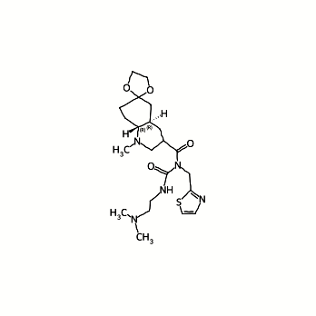 CN(C)CCNC(=O)N(Cc1nccs1)C(=O)C1C[C@@H]2CC3(CC[C@H]2N(C)C1)OCCO3